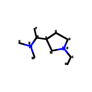 CCN1CCC(C(C)N(C)C)C1